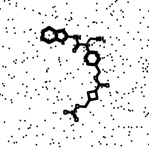 NC[C@@H](C(=O)Nc1cc2ccncc2s1)c1ccc(COC(=O)C2CC(CO[N+](=O)[O-])C2)cc1